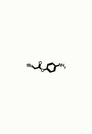 CC(C)(C)CC(=O)Oc1ccc(N)cc1